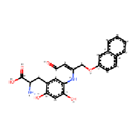 NC(Cc1cc(NC(=CC=O)COc2ccc3ccccc3c2)c(O)cc1O)C(=O)O